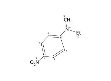 CCN(C)c1ccc([N+](=O)[O-])cc1